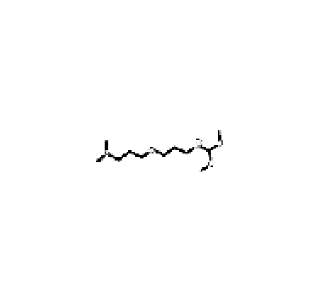 COC(OC)[SiH2]CCCOCCCN(C)C